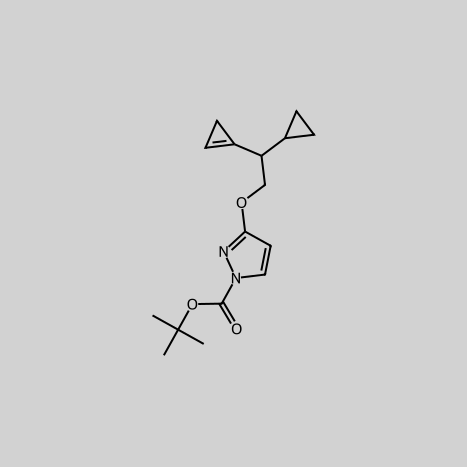 CC(C)(C)OC(=O)n1ccc(OCC(C2=CC2)C2CC2)n1